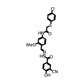 COc1cc(NC(=O)CSc2ccc(Cl)cc2)ccc1C=NNC(=O)c1ccc(O)c(C#N)c1